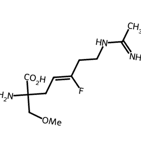 COCC(N)(CC=C(F)CCNC(C)=N)C(=O)O